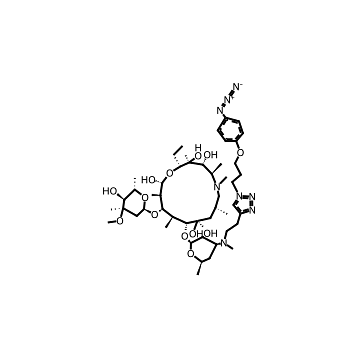 CC[C@H]1O[C@@H](O)[C@H](C)[C@@H](O[C@H]2C[C@@](C)(OC)[C@@H](O)[C@H](C)O2)[C@H](C)[C@@H](O[C@@H]2O[C@H](C)C[C@H](N(C)CCc3cn(CCCOc4ccc(N=[N+]=[N-])cc4)nn3)[C@H]2O)[C@](C)(O)C[C@@H](C)CN(C)[C@H](C)[C@@H](O)[C@]1(C)O